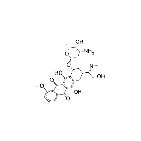 C/N=C(\CO)[C@H]1Cc2c(O)c3c(c(O)c2[C@H](O[C@@H]2C[C@@H](N)[C@@H](O)[C@@H](C)O2)C1)C(=O)c1c(OC)cccc1C3=O